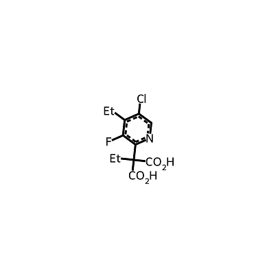 CCc1c(Cl)cnc(C(CC)(C(=O)O)C(=O)O)c1F